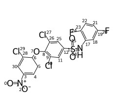 O=[N+]([O-])C1=CCC(Oc2c(Cl)cc(S(=O)(=O)Nc3cc(F)ccc3F)cc2Cl)C(Cl)=C1